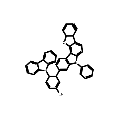 N#CC1=CC(c2ccc3c4c5c(ccc4n(-c4ccccc4)c3c2)C2C#CC=CC2O5)C(n2c3ccccc3c3ccccc32)C=C1